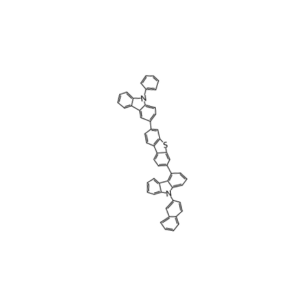 c1ccc(-n2c3ccccc3c3cc(-c4ccc5c(c4)sc4cc(-c6cccc7c6c6ccccc6n7-c6ccc7ccccc7c6)ccc45)ccc32)cc1